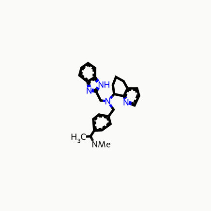 CNC(C)c1ccc(CN(Cc2nc3ccccc3[nH]2)C2CCCc3cccnc32)cc1